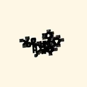 CCc1n[nH]c(NC(c2ccccc2)(c2ccccc2)c2ccccc2)c1CNC(=O)OC(C)(C)C